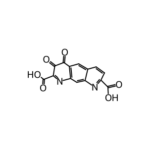 O=C(O)C1=Nc2cc3nc(C(=O)O)ccc3cc2C(=O)C1=O